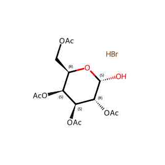 Br.CC(=O)OC[C@H]1O[C@H](O)[C@H](OC(C)=O)[C@@H](OC(C)=O)[C@H]1OC(C)=O